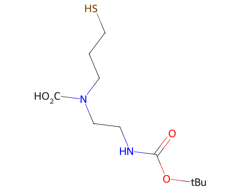 CC(C)(C)OC(=O)NCCN(CCCS)C(=O)O